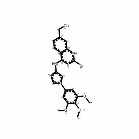 COc1cc(-n2cnc(Nc3nc(Cl)nc4cc(CO)ccc34)c2)cc(OC)c1OC